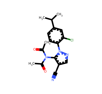 CC(=O)N(C(C)=O)c1c(C#N)cnn1-c1ccc(C(C)C)cc1Cl